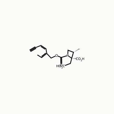 C#C/C=C\C(=C/C)COC(=O)N1C[C@H](C)[C@]1(CC(=O)O)C(=O)O